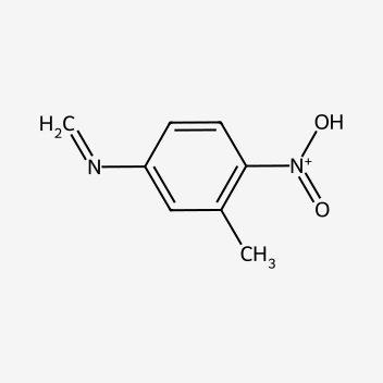 C=Nc1ccc([N+](=O)O)c(C)c1